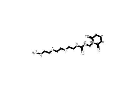 COCCOCCOCCOC(=O)OCN1C(=O)CCCC1=O